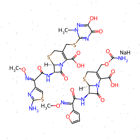 CO/N=C(/C(=O)N[C@@H]1C(=O)N2C(C(=O)O)=C(COC(N)=O)CS[C@H]12)c1ccco1.CO/N=C(\C(=O)N[C@@H]1C(=O)N2C(C(=O)O)=C(CSc3nc(=O)c(O)nn3C)CS[C@H]12)c1csc(N)n1.[NaH]